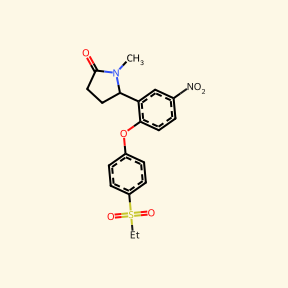 CCS(=O)(=O)c1ccc(Oc2ccc([N+](=O)[O-])cc2C2CCC(=O)N2C)cc1